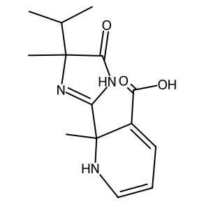 CC(C)C1(C)N=C(C2(C)NC=CC=C2C(=O)O)NC1=O